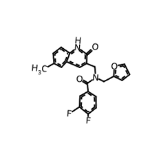 Cc1ccc2[nH]c(=O)c(CN(Cc3ccco3)C(=O)c3ccc(F)c(F)c3)cc2c1